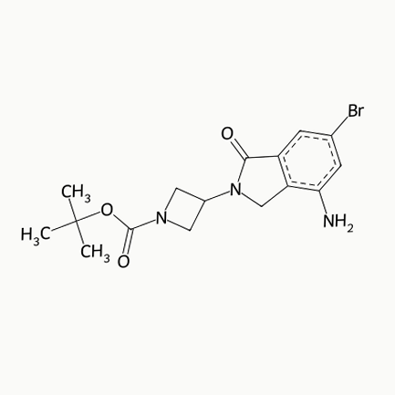 CC(C)(C)OC(=O)N1CC(N2Cc3c(N)cc(Br)cc3C2=O)C1